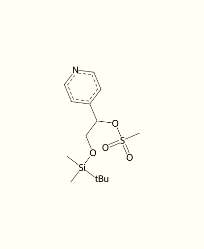 CC(C)(C)[Si](C)(C)OCC(OS(C)(=O)=O)c1ccncc1